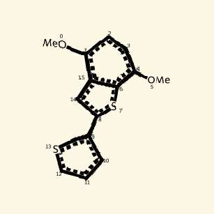 COc1ccc(OC)c2sc(-c3cccs3)cc12